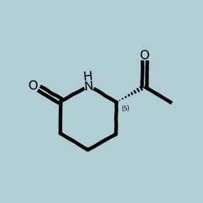 CC(=O)[C@@H]1CCCC(=O)N1